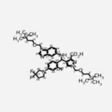 C[Si](C)(C)CCOCn1cc(C(Nc2ccc3c(c2)ncn3COCC[Si](C)(C)C)c2ccc(N3CCC(F)(F)C3)cc2F)c(C(=O)O)n1